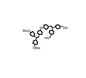 COc1ccc(C(=Cc2ccc(Oc3ccc(C=C(c4ccc(CO)cc4)c4ccc(CO)cc4)cc3)cc2)c2ccc(OC)cc2)cc1